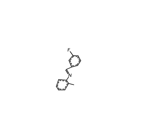 Cc1ccccc1N=Cc1cccc(F)c1